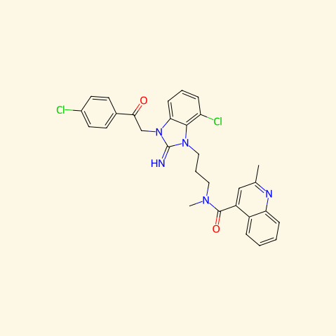 Cc1cc(C(=O)N(C)CCCn2c(=N)n(CC(=O)c3ccc(Cl)cc3)c3cccc(Cl)c32)c2ccccc2n1